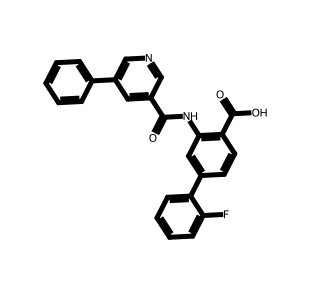 O=C(Nc1cc(-c2ccccc2F)ccc1C(=O)O)c1cncc(-c2ccccc2)c1